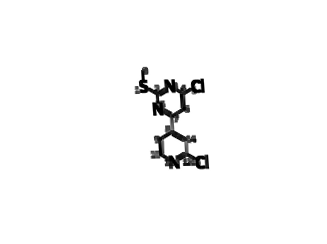 CSc1nc(Cl)cc(-c2ccnc(Cl)c2)n1